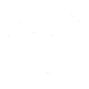 CC(c1cn[nH]c1Cl)N1CCN(c2nccnc2-c2ccc(F)cc2)CC1.Cl